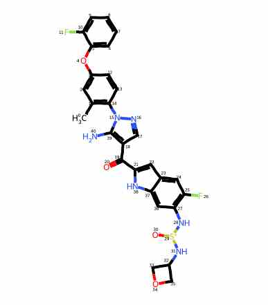 Cc1cc(Oc2ccccc2F)ccc1-n1ncc(C(=O)c2cc3cc(F)c(N[S+]([O-])NC4COC4)cc3[nH]2)c1N